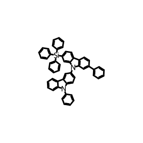 c1ccc(-c2ccc3c4ccc([Si](c5ccccc5)(c5ccccc5)c5ccccc5)cc4n(-c4ccc5c(c4)c4ccccc4n5-c4ccccc4)c3c2)cc1